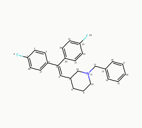 Fc1ccc(C(=CC2CCCN(Cc3ccccc3)C2)c2ccc(F)cc2)cc1